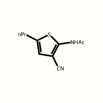 CCCc1cc(C#N)c(NC(C)=O)s1